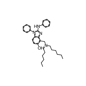 CCCCCCN(CCCCCC)Cc1c(O)ccc2c1nc(Nc1ccccc1)n2-c1ccccc1